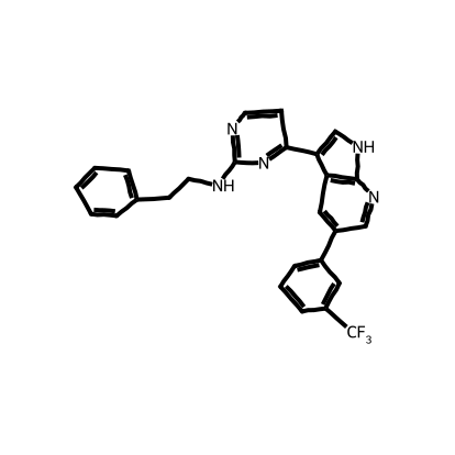 FC(F)(F)c1cccc(-c2cnc3[nH]cc(-c4ccnc(NCCc5ccccc5)n4)c3c2)c1